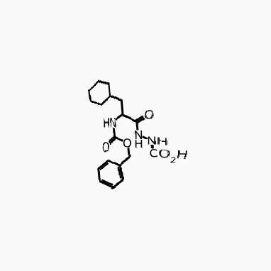 O=C(O)NNC(=O)C(CC1CCCCC1)NC(=O)OCc1ccccc1